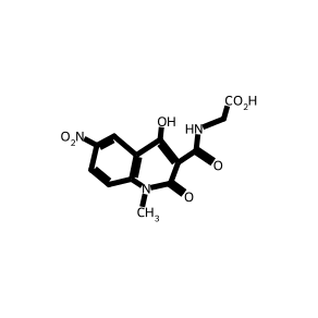 Cn1c(=O)c(C(=O)NCC(=O)O)c(O)c2cc([N+](=O)[O-])ccc21